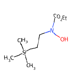 CCOC(=O)N(O)CC[Si](C)(C)C